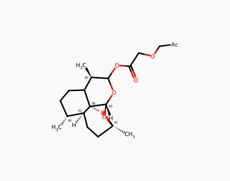 CC(=O)COCC(=O)OC1O[C@@H]2O[C@]3(C)CC[C@H]4[C@H](C)CCC([C@H]1C)[C@@]24OO3